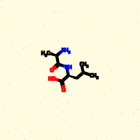 CC(C)C[C@@H](NC(=O)[C@@H](C)N)C(=O)O